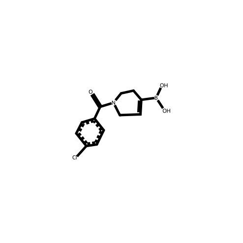 O=C(c1ccc(Cl)cc1)N1CC=C(B(O)O)CC1